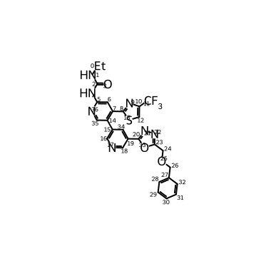 CCNC(=O)Nc1cc(-c2nc(C(F)(F)F)cs2)c(-c2cncc(-c3nnc(COCc4ccccc4)o3)c2)cn1